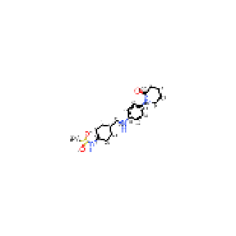 CC(C)S(=O)(=O)NC1CCC(CNc2ccc(N3CCCCC3=O)cc2)CC1